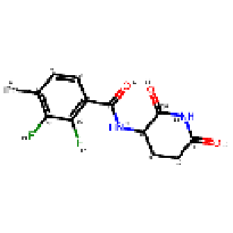 CC(C)c1ccc(C(=O)NC2CCC(=O)NC2=O)c(F)c1F